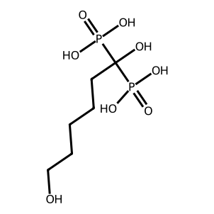 O=P(O)(O)C(O)(CCCCCO)P(=O)(O)O